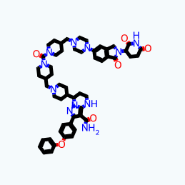 NC(=O)c1c(-c2ccc(Oc3ccccc3)cc2)nn2c1NCCC2C1CCN(CC2CCN(C(=O)N3CCC(CN4CCN(c5ccc6c(c5)CN(C5CCC(=O)NC5=O)C6=O)CC4)CC3)CC2)CC1